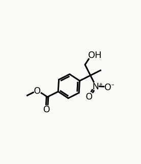 COC(=O)c1ccc(C(C)(CO)[N+](=O)[O-])cc1